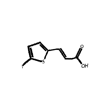 O=C(O)C=Cc1ccc(I)s1